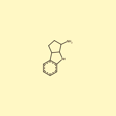 NC1CCC2c3ccccc3NC12